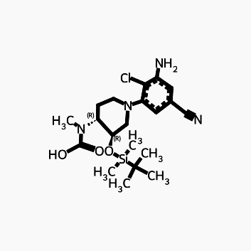 CN(C(=O)O)[C@@H]1CCN(c2cc(C#N)cc(N)c2Cl)C[C@H]1O[Si](C)(C)C(C)(C)C